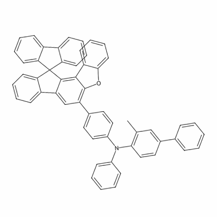 Cc1cc(-c2ccccc2)ccc1N(c1ccccc1)c1ccc(-c2cc3c(c4c2oc2ccccc24)C2(c4ccccc4-c4ccccc42)c2ccccc2-3)cc1